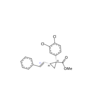 COC(=O)[C@@]1(c2ccc(Cl)c(Cl)c2)C[C@@H]1/C=C/c1ccccc1